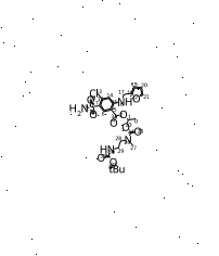 CC(OC(=O)c1cc(S(N)(=O)=O)c(Cl)cc1NCc1ccco1)OC(=O)N(C)CCNC(=O)OC(C)(C)C